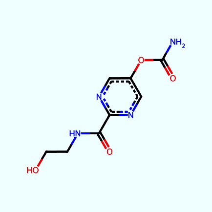 NC(=O)Oc1cnc(C(=O)NCCO)nc1